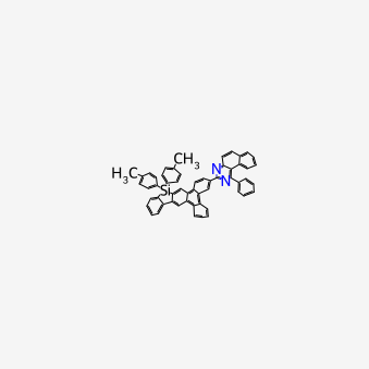 Cc1ccc([Si]2(c3ccc(C)cc3)c3ccccc3-c3cc4c5ccccc5c5cc(-c6nc(-c7ccccc7)c7c(ccc8ccccc87)n6)ccc5c4cc32)cc1